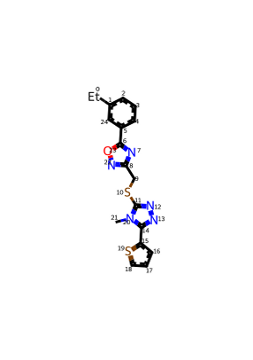 CCc1cccc(-c2nc(CSc3nnc(-c4cccs4)n3C)no2)c1